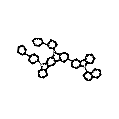 c1ccc(-c2ccc(-n3c4ccccc4c4cc5c6cc(-c7ccc8c(c7)c7ccccc7n8-c7cccc8ccccc78)ccc6n(-c6cccc(-c7ccccc7)c6)c5cc43)cc2)cc1